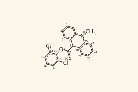 CN1c2ccccc2C(C(=S)Oc2c(Cl)cccc2Cl)c2ccccc21